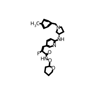 Cc1ccc(CN2CC[C@@H](Nc3ccc(/C=C(/F)C(=O)NOC4CCCCO4)cn3)C2)cc1